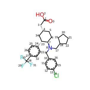 O=C(O)C[C@@H]1CC[C@@H](N(Cc2ccc(Cl)cc2)CC2CCCC2)[C@H](c2ccc(C(F)(F)F)cc2)C1